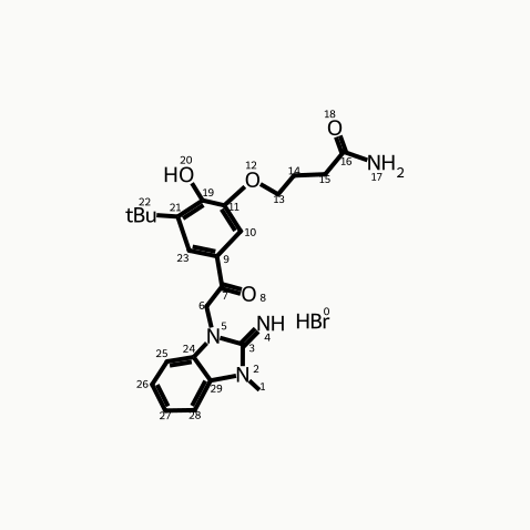 Br.Cn1c(=N)n(CC(=O)c2cc(OCCCC(N)=O)c(O)c(C(C)(C)C)c2)c2ccccc21